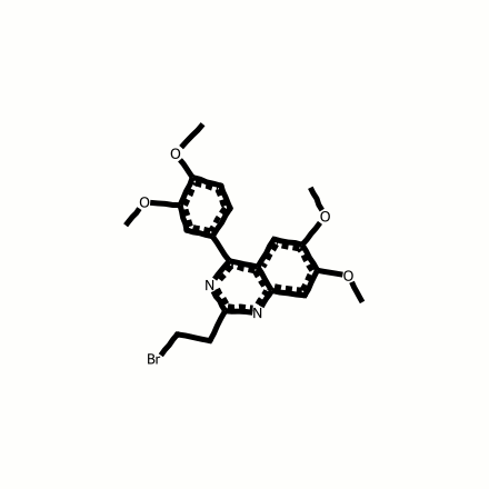 COc1ccc(-c2nc(CCBr)nc3cc(OC)c(OC)cc23)cc1OC